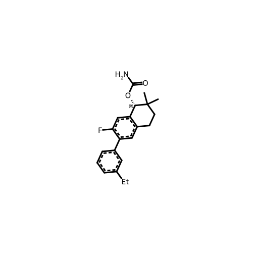 CCc1cccc(-c2cc3c(cc2F)[C@H](OC(N)=O)C(C)(C)CC3)c1